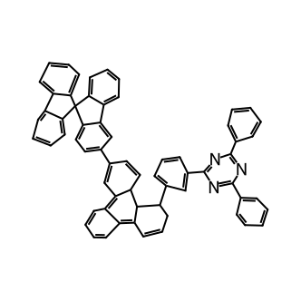 C1=CC2=c3ccccc3=C3C=C(c4ccc5c(c4)-c4ccccc4C54c5ccccc5-c5ccccc54)C=CC3C2C(c2cccc(-c3nc(-c4ccccc4)nc(-c4ccccc4)n3)c2)C1